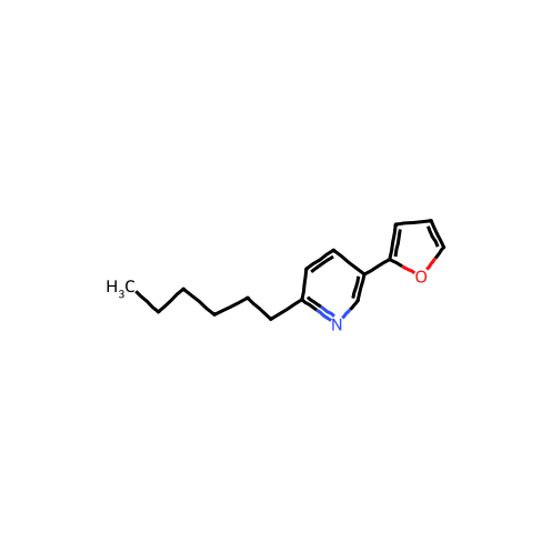 CCCCCCc1ccc(-c2ccco2)cn1